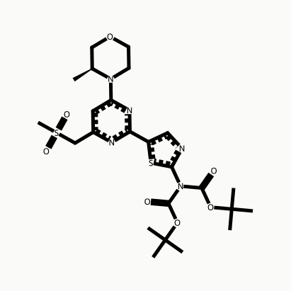 C[C@H]1COCCN1c1cc(CS(C)(=O)=O)nc(-c2cnc(N(C(=O)OC(C)(C)C)C(=O)OC(C)(C)C)s2)n1